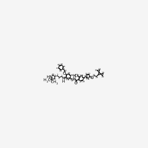 CC1(C)C[C@H](CCCNc2nc(SNC(=O)c3ccc(-n4ccc(OCCC5C6(CC6)C56CC6)n4)nc3Cl)ccc2OCc2ccccc2)CN1